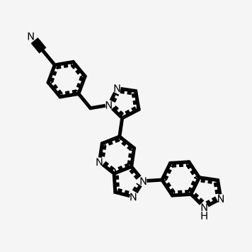 N#Cc1ccc(Cn2nccc2-c2cnc3cnn(-c4ccc5cn[nH]c5c4)c3c2)cc1